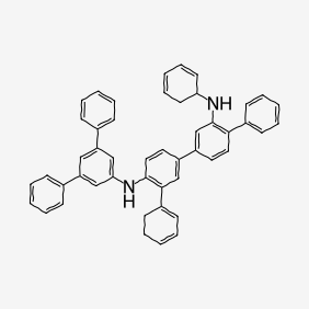 C1=CCCC(c2cc(-c3ccc(-c4ccccc4)c(NC4C=CC=CC4)c3)ccc2Nc2cc(-c3ccccc3)cc(-c3ccccc3)c2)=C1